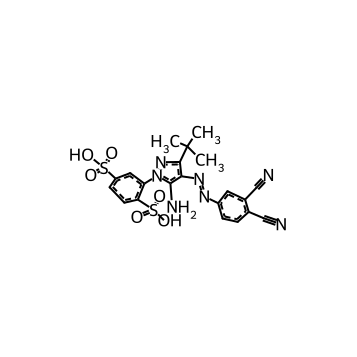 CC(C)(C)c1nn(-c2cc(S(=O)(=O)O)ccc2S(=O)(=O)O)c(N)c1N=Nc1ccc(C#N)c(C#N)c1